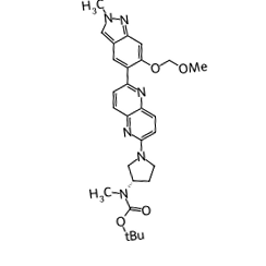 COCOc1cc2nn(C)cc2cc1-c1ccc2nc(N3CC[C@H](N(C)C(=O)OC(C)(C)C)C3)ccc2n1